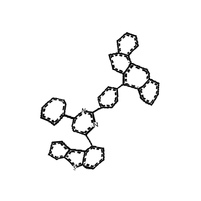 c1ccc(-c2cc(-c3cccc4sc5ccccc5c34)nc(-c3ccc(-c4c5ccccc5cc5c4ccc4ccccc45)cc3)n2)cc1